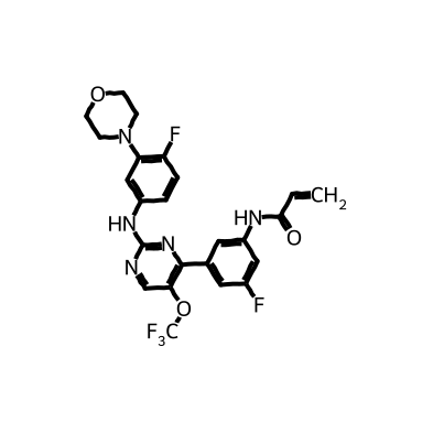 C=CC(=O)Nc1cc(F)cc(-c2nc(Nc3ccc(F)c(N4CCOCC4)c3)ncc2OC(F)(F)F)c1